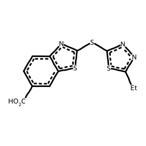 CCc1nnc(Sc2nc3ccc(C(=O)O)cc3s2)s1